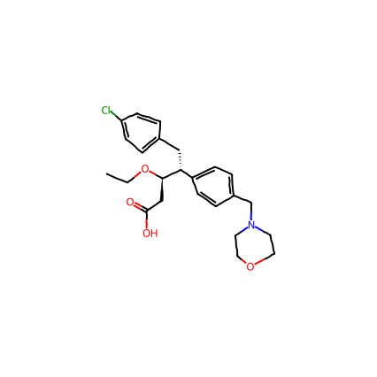 CCO[C@H](CC(=O)O)[C@H](Cc1ccc(Cl)cc1)c1ccc(CN2CCOCC2)cc1